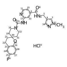 Cl.Cn1cc(CNC(=O)c2ccnc(NC(=O)N3CCC4(CCc5cc(F)ccc5O4)CC3)c2)cn1